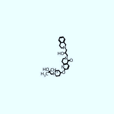 CC(C)(O)CN1CCC(Oc2ccc3c(n2)CCN(CC(O)CN2CCc4ccccc4C2)C3=O)CC1